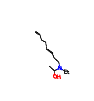 C=CCCC=CCCN(CC)C(C)O